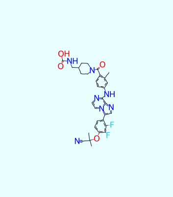 Cc1cc(Nc2nccn3c(-c4ccc(OC(C)(C)C#N)c(F)c4F)cnc23)ccc1C(=O)N1CCC(CNC(=O)O)CC1